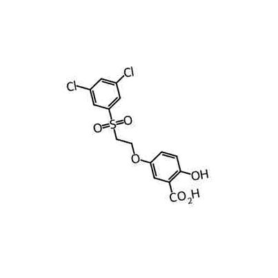 O=C(O)c1cc(OCCS(=O)(=O)c2cc(Cl)cc(Cl)c2)ccc1O